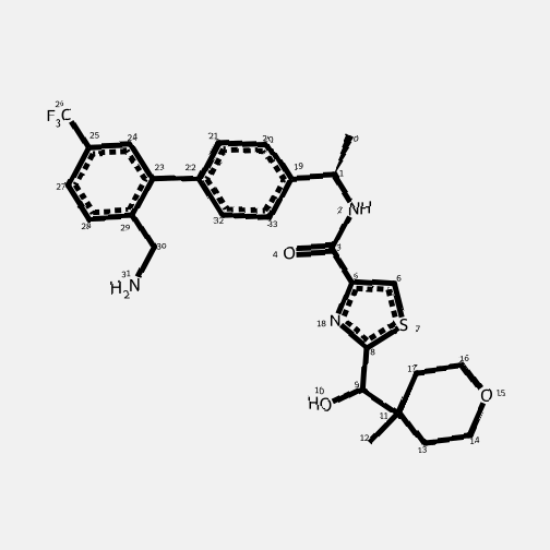 C[C@@H](NC(=O)c1csc(C(O)C2(C)CCOCC2)n1)c1ccc(-c2cc(C(F)(F)F)ccc2CN)cc1